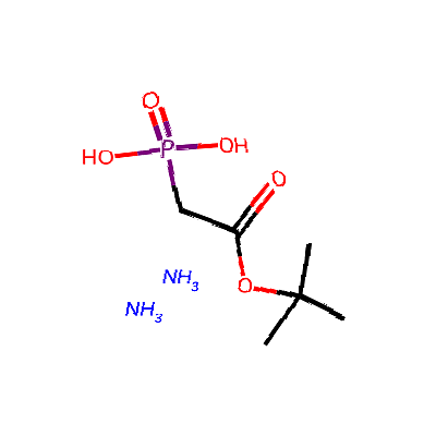 CC(C)(C)OC(=O)CP(=O)(O)O.N.N